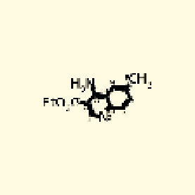 CCOC(=O)c1cnc2ccc(C)cc2c1N